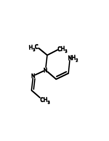 C/C=N\N(/C=C\N)C(C)C